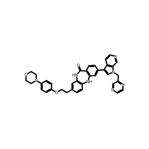 O=C1Nc2cc(CCOc3ccc(N4CCOCC4)cc3)ccc2Nc2cc(-c3cn(Cc4cnccn4)c4cnccc34)ccc21